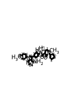 Cc1cc(C)n(-c2ccccc2)c(=O)c1C(=O)Nc1ccc(-c2cn(C3CCN(C)CC3)c3ncnc(N)c23)cc1